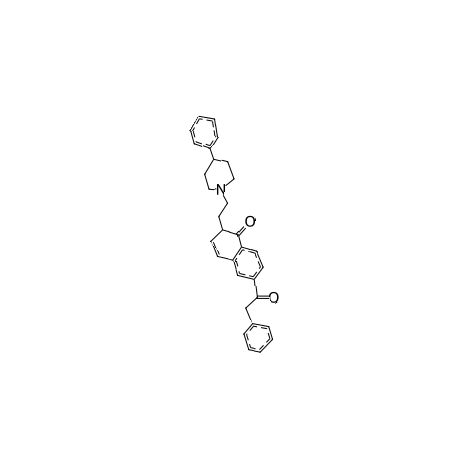 O=C(Cc1ccccc1)c1ccc2c(c1)C=CC(CCN1CCC(c3ccccc3)CC1)C2=O